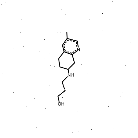 Cc1cnc2c(c1)CCC(NCCCO)C2